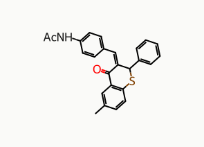 CC(=O)Nc1ccc(C=C2C(=O)c3cc(C)ccc3SC2c2ccccc2)cc1